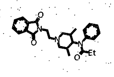 CCC(=O)N(c1ccccc1)C1C(C)CN(CCN2C(=O)c3ccccc3C2=O)CC1C